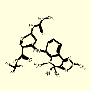 [2H]C([2H])([2H])NC(=O)c1cnc(NC(=O)NC)cc1Nc1cccc2c1N(C)C([2H])([2H])c1nn(C)nc1-2